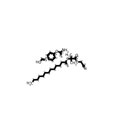 CCCCCCCCCCCCC(=S)SC(C)(C)C(=O)OCC#N.NC(=S)Oc1ccccc1.OC=S